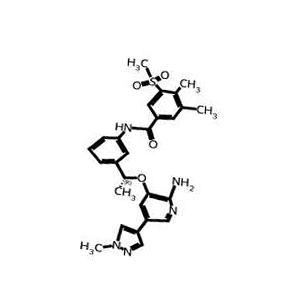 Cc1cc(C(=O)Nc2cccc([C@@H](C)Oc3cc(-c4cnn(C)c4)cnc3N)c2)cc(S(C)(=O)=O)c1C